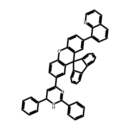 C1=C(c2ccc3c(c2)C2(c4cc(-c5cccc6cccnc56)ccc4O3)c3ccccc3-c3ccccc32)N=C(c2ccccc2)NC1c1ccccc1